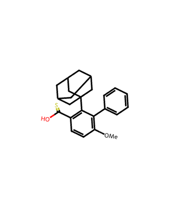 COc1ccc(C(O)=S)c(C23CC4CC(CC(C4)C2)C3)c1-c1ccccc1